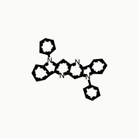 c1ccc(-n2c3ccccc3c3nc4cc5c(nc4cc32)c2ccccc2n5-c2ccccc2)cc1